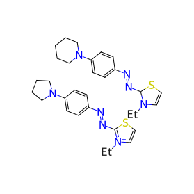 CCN1C=CSC1N=Nc1ccc(N2CCCCC2)cc1.CC[n+]1ccsc1N=Nc1ccc(N2CCCC2)cc1